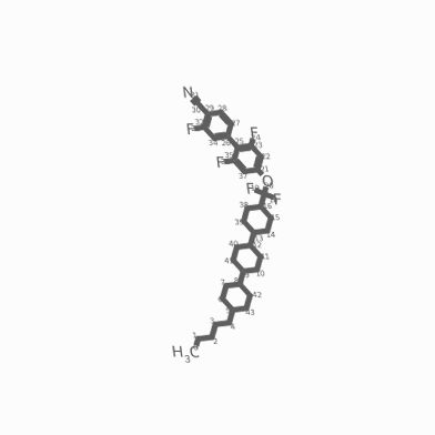 CCCCCC1CCC(C2CCC(C3CCC(C(F)(F)Oc4cc(F)c(-c5ccc(C#N)c(F)c5)c(F)c4)CC3)CC2)CC1